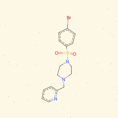 O=S(=O)(c1ccc(Br)cc1)N1CCN(Cc2ccccn2)CC1